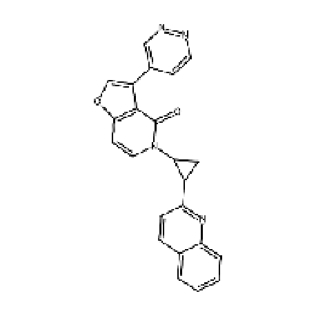 O=c1c2c(-c3ccnnc3)coc2ccn1C1CC1c1ccc2ccccc2n1